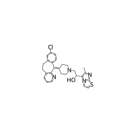 Cc1nc2sccn2c1C(O)CN1CCC(=C2c3ccc(Cl)cc3CCc3cccnc32)CC1